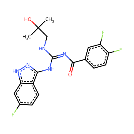 CC(C)(O)CN/C(=N/C(=O)c1ccc(F)c(F)c1)Nc1n[nH]c2cc(F)ccc12